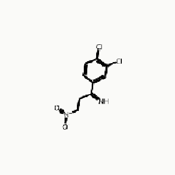 N=C(CC[N+](=O)[O-])c1ccc(Cl)c(Cl)c1